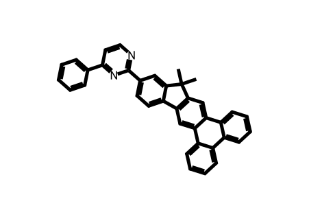 CC1(C)c2cc(-c3nccc(-c4ccccc4)n3)ccc2-c2cc3c4ccccc4c4ccccc4c3cc21